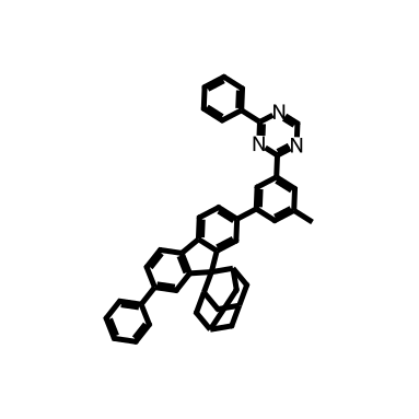 Cc1cc(-c2ccc3c(c2)C2(c4cc(-c5ccccc5)ccc4-3)C3CC4CC(C3)CC2C4)cc(-c2ncnc(-c3ccccc3)n2)c1